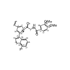 C=Cc1cc(C(=O)CNC(=O)c2ccc(OC)c(OC)c2)nc(-c2csc3c(F)cccc23)c1